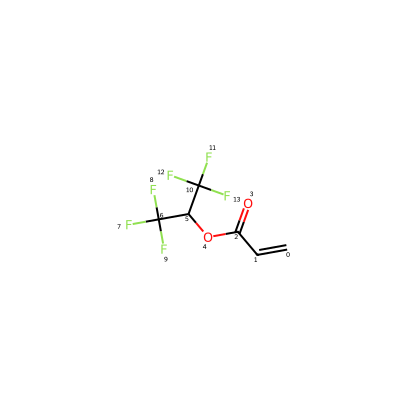 C=CC(=O)OC(C(F)(F)F)C(F)(F)F